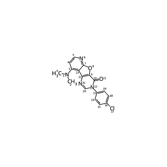 CN(C)c1ccnc2oc3c(=O)n(-c4ccc(Cl)cc4)cnc3c12